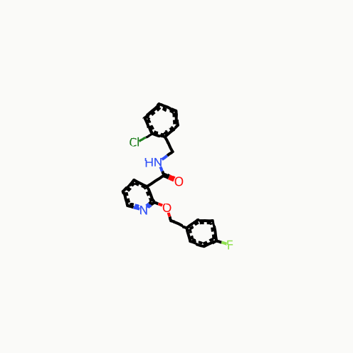 O=C(NCc1ccccc1Cl)c1cccnc1OCc1ccc(F)cc1